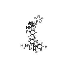 NC(=O)c1cc(Cc2cccc(NS(=O)(=O)NC[C@H]3CCCO3)c2F)c(F)c(F)c1Nc1ccc(I)cc1F